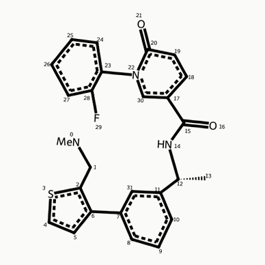 CNCc1sccc1-c1cccc([C@@H](C)NC(=O)c2ccc(=O)n(-c3ccccc3F)c2)c1